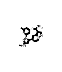 CNc1cc(-c2ccn3ncc(C(N)=O)c3c2)n(-c2cccc(C)n2)n1